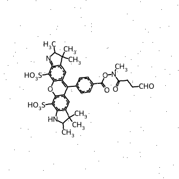 CC1N=c2c(cc3c(c2S(=O)(=O)O)Oc2c(cc4c(c2S(=O)(=O)O)NC(C)C4(C)C)C=3c2ccc(C(=O)ON(C)C(=O)CCC=O)cc2)C1(C)C